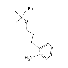 CC(C)(C)[Si](C)(C)OCCCc1ccccc1N